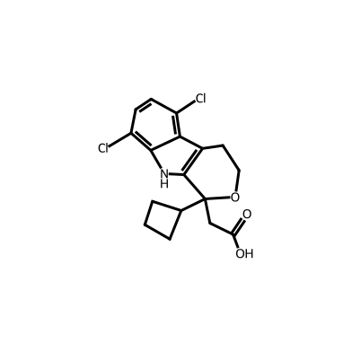 O=C(O)CC1(C2CCC2)OCCc2c1[nH]c1c(Cl)ccc(Cl)c21